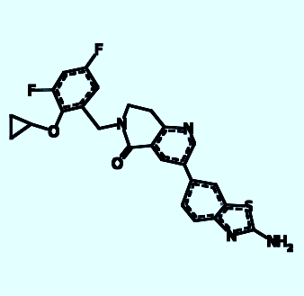 Nc1nc2ccc(-c3cnc4c(c3)C(=O)N(Cc3cc(F)cc(F)c3OC3CC3)CC4)cc2s1